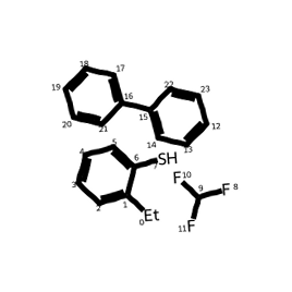 CCc1ccccc1S.FC(F)F.c1ccc(-c2ccccc2)cc1